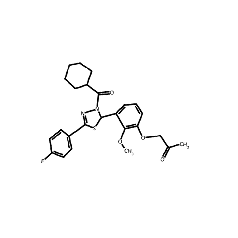 COc1c(OCC(C)=O)cccc1C1SC(c2ccc(F)cc2)=NN1C(=O)C1CCCCC1